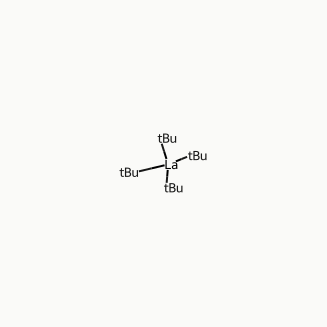 C[C](C)(C)[La]([C](C)(C)C)([C](C)(C)C)[C](C)(C)C